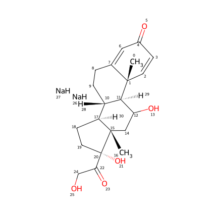 C[C@]12C=CC(=O)C=C1CC[C@@H]1[C@@H]2C(O)C[C@@]2(C)[C@H]1CC[C@]2(O)C(=O)CO.[NaH].[NaH]